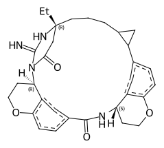 CC[C@]12CCCC3CC3c3ccc4c(c3)[C@H](CCO4)NC(=O)c3ccc4c(c3)[C@@H](CCO4)N(C(=N)N1)C(=O)C2